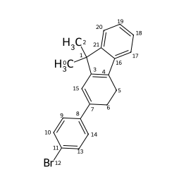 CC1(C)C2=C(CCC(c3ccc(Br)cc3)=C2)c2ccccc21